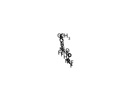 C[S+]([O-])N1CCC(N2CC(n3cc(NC(=O)c4cccc(-c5cnn(CC(F)F)c5)n4)c(C(F)F)n3)C2)CC1